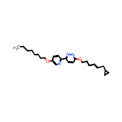 CCCCCCCCOc1ccc(-c2ccc(OCCCCCCC3CC3)nn2)nc1